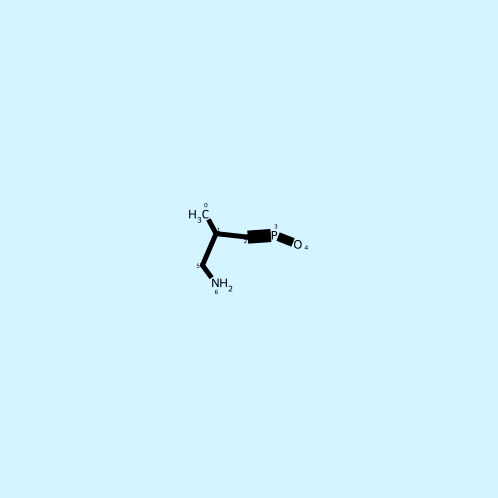 CC(C#P=O)CN